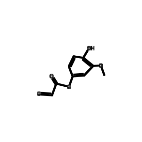 COc1cc(OC(=O)C=O)ccc1O